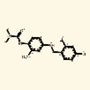 CN(C)C(=O)Nc1ccc(NCc2ccc(Cl)cc2Cl)cc1N